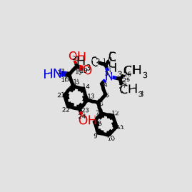 CC(C)N(CCC(c1ccccc1)c1cc(C(=N)C(=O)O)ccc1O)C(C)C